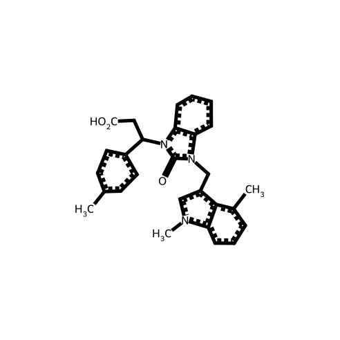 Cc1ccc(C(CC(=O)O)n2c(=O)n(Cc3cn(C)c4cccc(C)c34)c3ccccc32)cc1